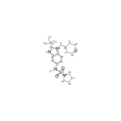 CN(c1ccc2c(c1)nc(C(C)(C)C)n2CC1CCOCC1)S(=O)(=O)N1CCCC1